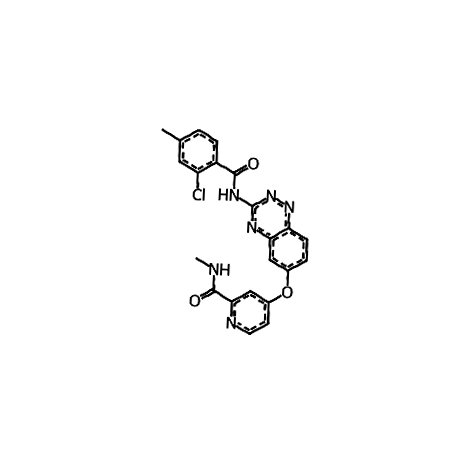 CNC(=O)c1cc(Oc2ccc3nnc(NC(=O)c4ccc(C)cc4Cl)nc3c2)ccn1